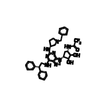 O=C(N[C@H]1C[C@@H](n2cnc3c(NCC(c4ccccc4)c4ccccc4)nc(N[C@@H]4CCN(Cc5ccccc5)C4)nc32)[C@H](O)[C@@H]1O)C(F)(F)F